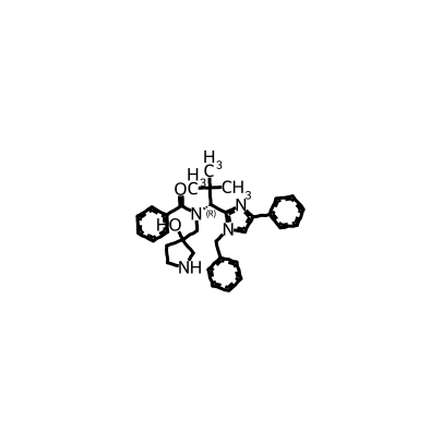 CC(C)(C)[C@H](c1nc(-c2ccccc2)cn1Cc1ccccc1)N(CC1(O)CCNC1)C(=O)c1ccccc1